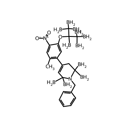 BC1(B)C=C(c2cc(OC(B)(C(B)(B)B)C(B)(B)B)c([N+](=O)[O-])cc2C)CC(B)(B)N1Cc1ccccc1